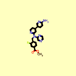 COC(=O)c1ccc(CN(c2cnccn2)c2cc(-c3ccc(N)nc3)ccn2)c(F)c1